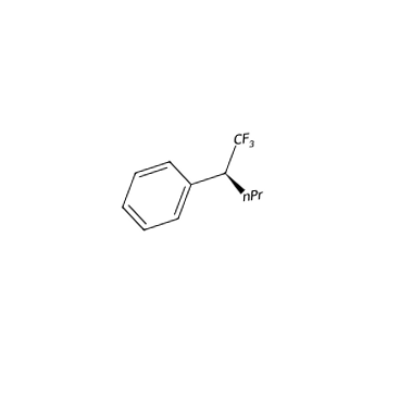 CCC[C@@H](c1ccccc1)C(F)(F)F